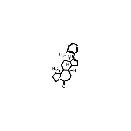 Cc1ccncc1C1=CC[C@H]2[C@@H]3CCC(=O)N4CCC[C@]4(C)C3CC[C@]12C